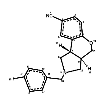 N#Cc1ccc2c(c1)[C@H]1CN(Cc3ccc(F)cc3)C[C@@H]1CO2